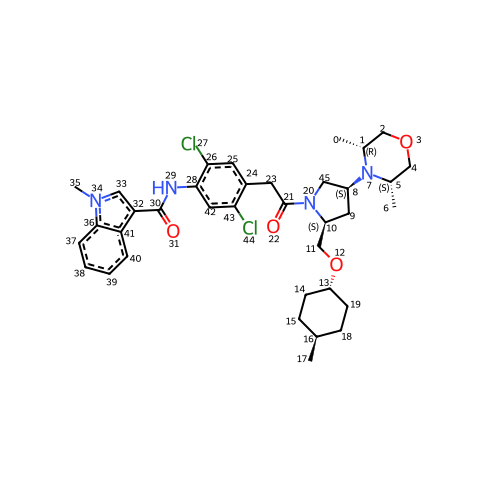 C[C@@H]1COC[C@H](C)N1[C@H]1C[C@@H](CO[C@H]2CC[C@H](C)CC2)N(C(=O)Cc2cc(Cl)c(NC(=O)c3cn(C)c4ccccc34)cc2Cl)C1